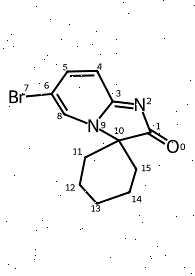 O=C1N=C2C=CC(Br)=CN2C12CCCCC2